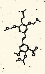 COCOc1cc(C=Cc2cc(OC)c(OC(C)OC)c([N+](=O)[O-])c2)cc(OCOC)c1CC=C(C)C